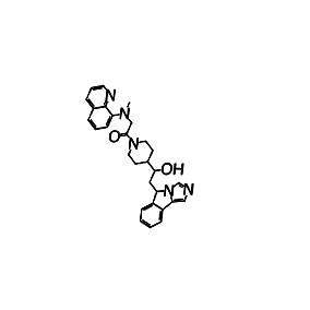 CN(CC(=O)N1CCC(C(O)CC2c3ccccc3-c3cncn32)CC1)c1cccc2cccnc12